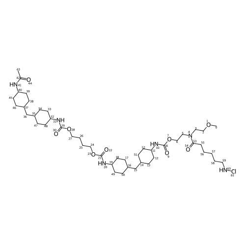 COCCN(CCOC(=O)NC1CCC(CC2CCC(NC(=O)OCCCCOC(=O)NC3CCC(CC4CCC(NC(C)=O)CC4)CC3)CC2)CC1)C(=O)CCCCCNCl